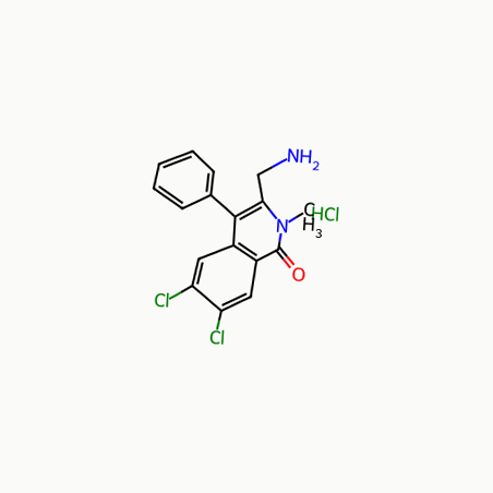 Cl.Cn1c(CN)c(-c2ccccc2)c2cc(Cl)c(Cl)cc2c1=O